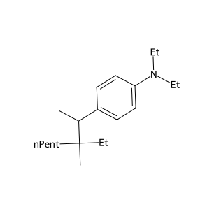 CCCCCC(C)(CC)C(C)c1ccc(N(CC)CC)cc1